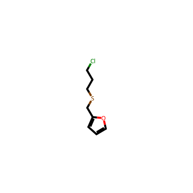 ClCCCSCc1ccco1